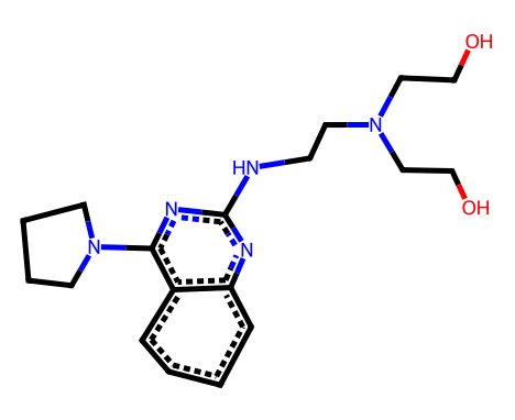 OCCN(CCO)CCNc1nc(N2CCCC2)c2ccccc2n1